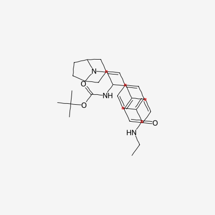 CCNC(=O)c1ccc(C=C2CC3CCC(C2)N3CC(Cc2ccccc2)NC(=O)OC(C)(C)C)cc1